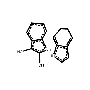 C1=c2cc[nH]c2=CCC1.Oc1[nH]c2ccccc2c1O